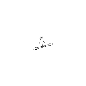 O=[P]=O.[Co].[Zn]